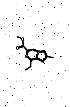 CCc1nc(C(=O)OC)cn2cc(C)nc12